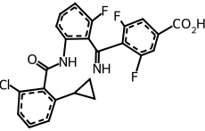 N=C(c1c(F)cc(C(=O)O)cc1F)c1c(F)cccc1NC(=O)c1c(Cl)cccc1C1CC1